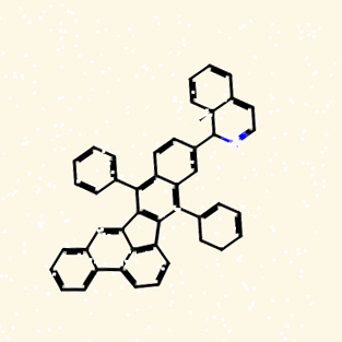 C1=CCCC(c2c3c(c(-c4ccccc4)c4ccc(C5N=CC=C6C=CC=C[C@H]65)cc24)-c2cc4ccccc4c4cccc-3c24)=C1